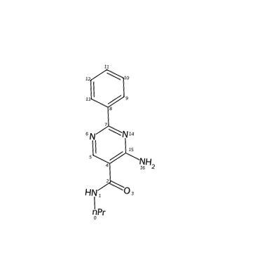 CCCNC(=O)c1cnc(-c2ccccc2)nc1N